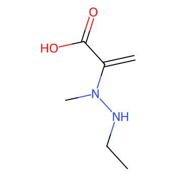 C=C(C(=O)O)N(C)NCC